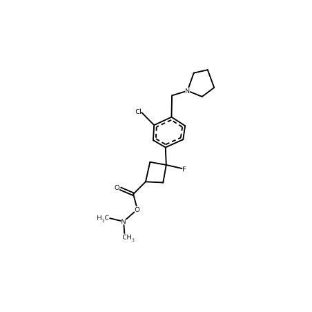 CN(C)OC(=O)C1CC(F)(c2ccc(CN3CCCC3)c(Cl)c2)C1